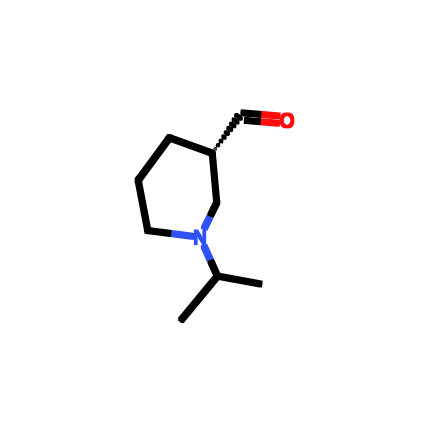 CC(C)N1CCC[C@H](C=O)C1